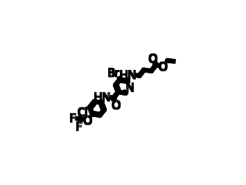 CCOC(=O)CCCNc1ncc(C(=O)Nc2ccc(OC(F)(F)Cl)cc2)cc1Br